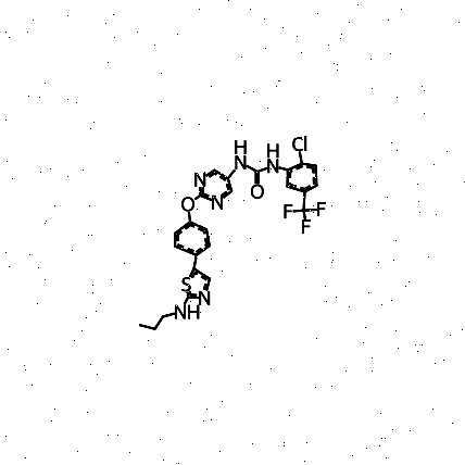 CCCNc1ncc(-c2ccc(Oc3ncc(NC(=O)Nc4cc(C(F)(F)F)ccc4Cl)cn3)cc2)s1